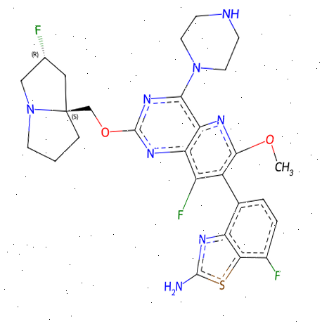 COc1nc2c(N3CCNCC3)nc(OC[C@@]34CCCN3C[C@H](F)C4)nc2c(F)c1-c1ccc(F)c2sc(N)nc12